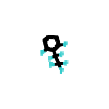 Fc1c[c]cc(F)c1C(F)(F)C(F)(F)F